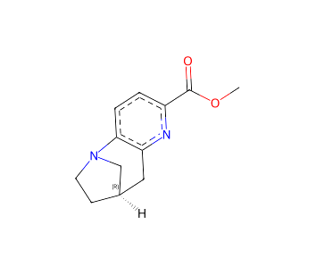 COC(=O)c1ccc2c(n1)C[C@H]1CCN2C1